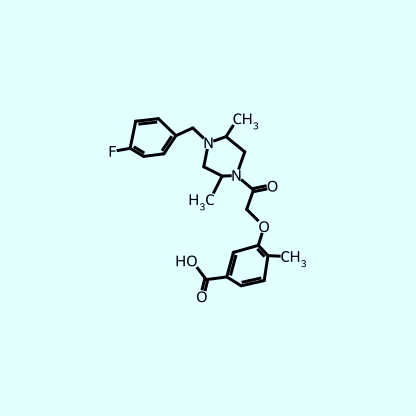 Cc1ccc(C(=O)O)cc1OCC(=O)N1CC(C)N(Cc2ccc(F)cc2)CC1C